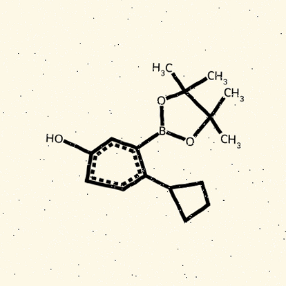 CC1(C)OB(c2cc(O)ccc2C2CCC2)OC1(C)C